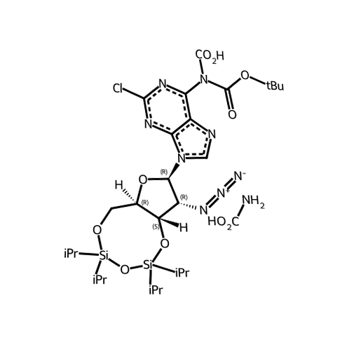 CC(C)[Si]1(C(C)C)OC[C@H]2O[C@@H](n3cnc4c(N(C(=O)O)C(=O)OC(C)(C)C)nc(Cl)nc43)[C@H](N=[N+]=[N-])[C@@H]2O[Si](C(C)C)(C(C)C)O1.NC(=O)O